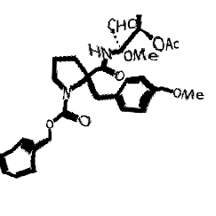 COc1ccc(CC2(C(=O)N[C@](C=O)(OC)[C@@H](C)OC(C)=O)CCCN2C(=O)OCc2ccccc2)cc1